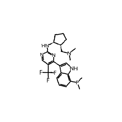 CN(C)C[C@@H]1CCC[C@@H]1Nc1ncc(C(F)(F)F)c(-c2c[nH]c3c(P(C)C)cccc23)n1